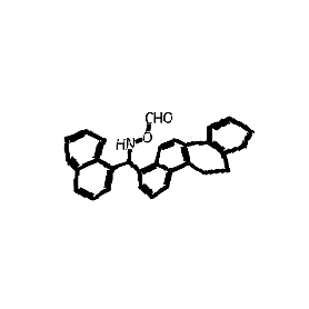 O=CONC(c1cccc2ccccc12)c1cccc2c3c(ccc12)C1=C(CCC=C1)CC3